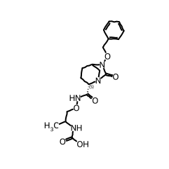 CC(CONC(=O)[C@@H]1CCC2CN1C(=O)N2OCc1ccccc1)NC(=O)O